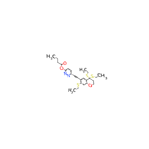 CCCC(=O)Oc1ccc(C#Cc2cc3c(cc2SCC)OCCC3(SCC)SCC)nn1